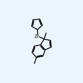 Cc1ccc2c(c1)C=C[C]2(C)[Zr][CH]1C=CC=C1